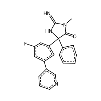 CN1C(=N)NC(c2ccccc2)(c2cc(F)cc(-c3cccnc3)c2)C1=O